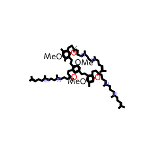 COc1cc(CCc2c3c(cc(C)c2OC)O[C@](C)(CC/C=C(\C)CC/C=C(\C)CCC=C(C)C)CC3)c2c(c1CCc1c(C)c(OC)c(C)c3c1O[C@](C)(CC/C=C(\C)CC/C=C(\C)CCC=C(C)C)CC3)CC[C@@](C)(CC/C=C(\C)CC/C=C(\C)CCC=C(C)C)O2